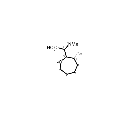 CN[C@H](C(=O)O)[C@@H]1OCCCC[C@H]1C